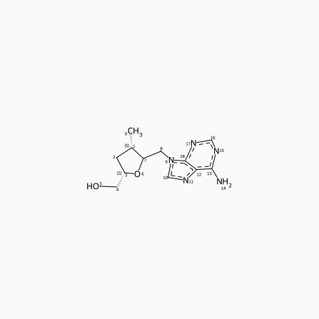 C[C@H]1C[C@@H](CO)OC1Cn1cnc2c(N)ncnc21